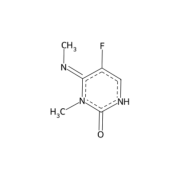 C/N=c1\c(F)c[nH]c(=O)n1C